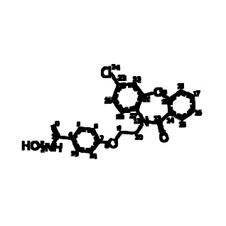 C=C(NO)c1ccc(OCCN2C(=O)c3ccccc3Oc3cc(Cl)ccc32)cc1